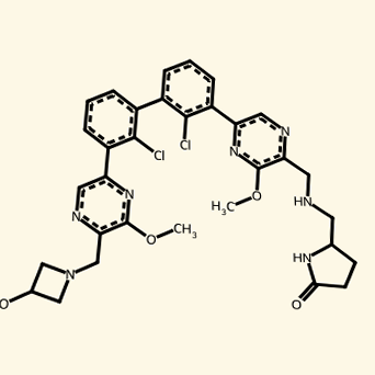 COc1nc(-c2cccc(-c3cccc(-c4cnc(CN5CC(O)C5)c(OC)n4)c3Cl)c2Cl)cnc1CNCC1CCC(=O)N1